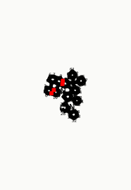 c1ccc(-c2cccc3cccc(-c4ccccc4N(c4cccc(-c5cccc6c7ccccc7n(-c7ccccc7)c56)c4)c4cccc5c4-c4ccccc4C5(c4ccccc4)c4ccccc4)c23)cc1